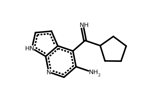 N=C(c1c(N)cnc2[nH]ccc12)C1CCCC1